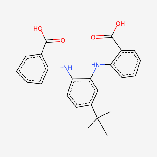 CC(C)(C)c1ccc(Nc2ccccc2C(=O)O)c(Nc2ccccc2C(=O)O)c1